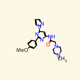 COc1ccc(-c2nc(NC(=O)CN3CCN(C)CC3)cc(-n3cccn3)n2)cc1